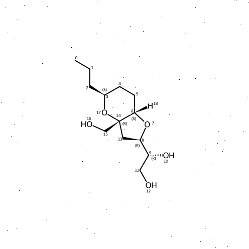 CCC[C@H]1CC[C@@H]2O[C@@H]([C@H](O)CO)C[C@]2(CO)O1